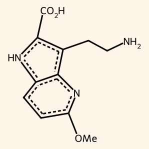 COc1ccc2[nH]c(C(=O)O)c(CCN)c2n1